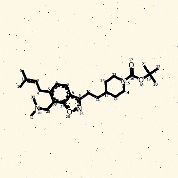 CC(C)=CCc1ccc2c(CCC3CCN(C(=O)OC(C)(C)C)CC3)noc2c1CN(C)C